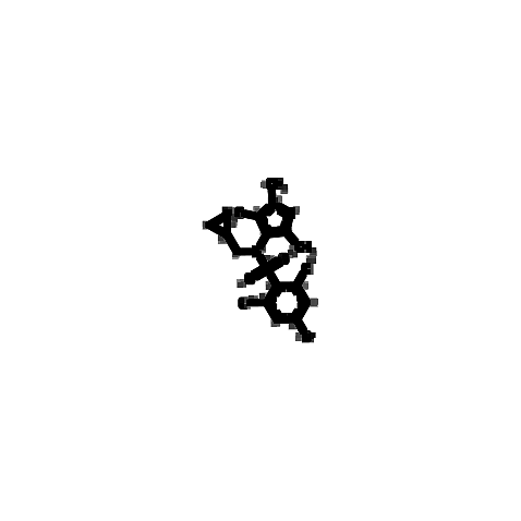 Cc1nn(C)c(C)c1N(CC1CC1)S(=O)(=O)c1c(Cl)cc(Br)cc1Cl